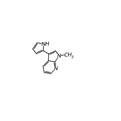 Cn1cc(-c2ccc[nH]2)c2cccnc21